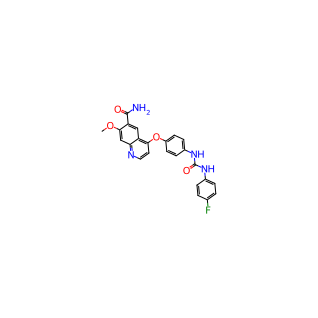 COc1cc2nccc(Oc3ccc(NC(=O)Nc4ccc(F)cc4)cc3)c2cc1C(N)=O